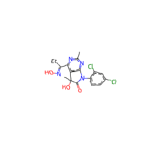 CCC(=NO)c1nc(C)nc2c1C(C)(O)C(=O)N2c1ccc(Cl)cc1Cl